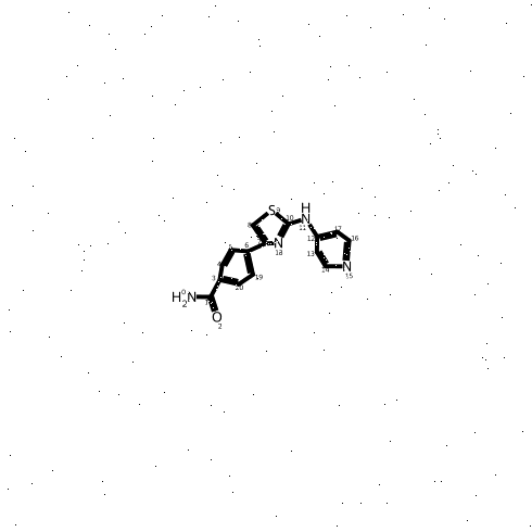 NC(=O)c1ccc(-c2csc(Nc3ccncc3)n2)cc1